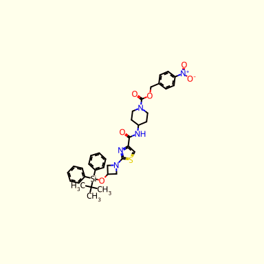 CC(C)(C)[Si](OC1CN(c2nc(C(=O)NC3CCN(C(=O)OCc4ccc([N+](=O)[O-])cc4)CC3)cs2)C1)(c1ccccc1)c1ccccc1